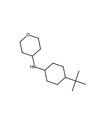 CC(C)(C)C1CCC(NC2CCOCC2)CC1